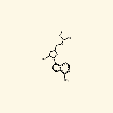 COP(O)OCC1CC(O)[C@H](c2ccc3c(N)ncnn23)O1